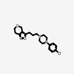 Clc1ccc(N2CCN(CCCc3onc4c3COCC4)CC2)cc1